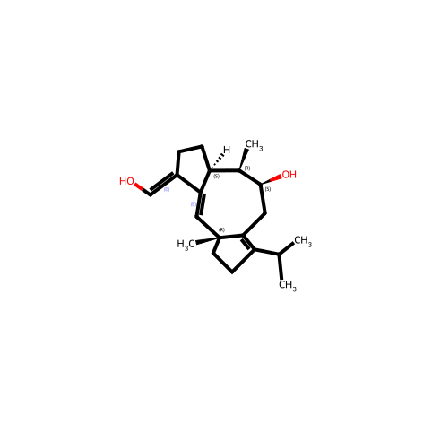 CC(C)C1=C2C[C@H](O)[C@H](C)[C@@H]3CCC(=C\O)/C3=C/[C@@]2(C)CC1